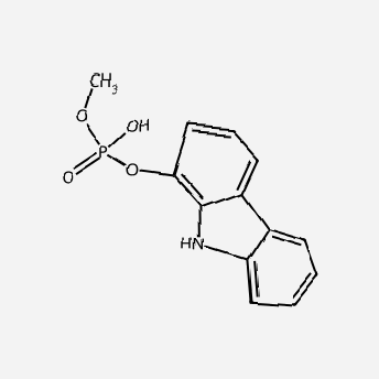 COP(=O)(O)Oc1cccc2c1[nH]c1ccccc12